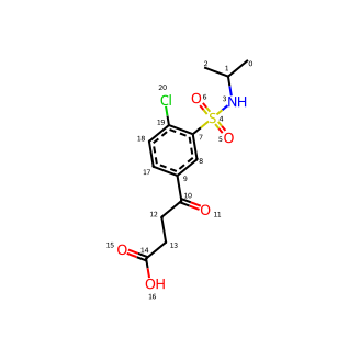 CC(C)NS(=O)(=O)c1cc(C(=O)CCC(=O)O)ccc1Cl